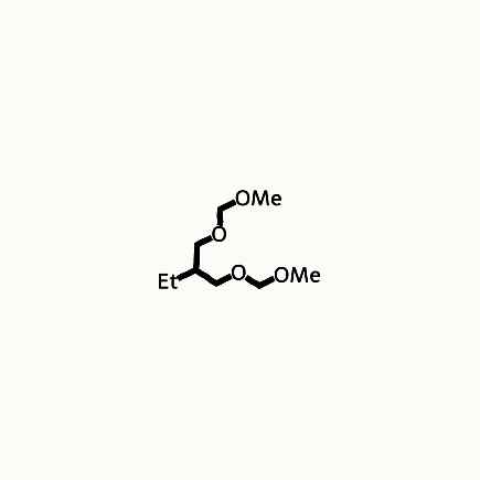 [CH2]CC(COCOC)COCOC